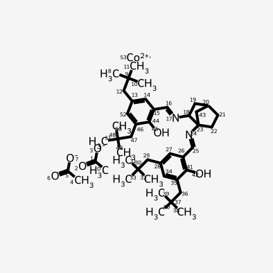 CC(=O)[O-].CC(=O)[O-].CC(C)(C)Cc1cc(C=NC2CC3CCC2(N=Cc2cc(CC(C)(C)C)cc(CC(C)(C)C)c2O)C3)c(O)c(CC(C)(C)C)c1.[Co+2]